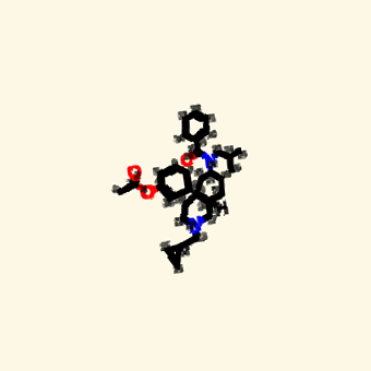 CC(=O)Oc1cccc([C@@]23CCN(CC4CC4)C[C@H]2CC[C@H](N(CC(C)C)C(=O)c2ccccc2)C3)c1